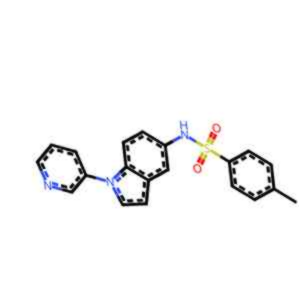 Cc1ccc(S(=O)(=O)Nc2ccc3c(ccn3-c3cccnc3)c2)cc1